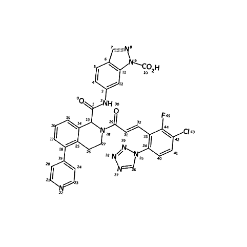 O=C(Nc1ccc2cnn(C(=O)O)c2c1)C1c2cccc(-c3ccncc3)c2CCN1C(=O)/C=C/c1c(-n2cnnn2)ccc(Cl)c1F